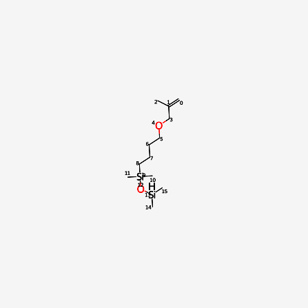 C=C(C)COCCCC[Si](C)(C)O[SiH](C)C